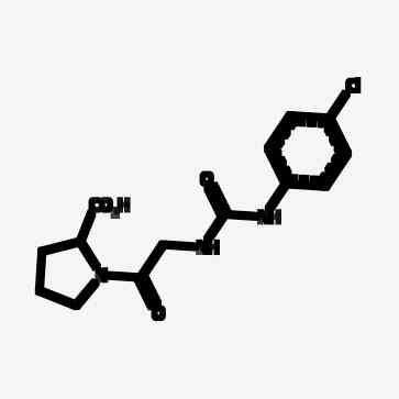 O=C(NCC(=O)N1CCCC1C(=O)O)Nc1ccc(Cl)cc1